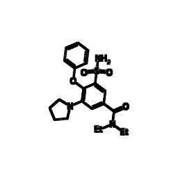 CCN(CC)C(=O)c1cc(N2CCCC2)c(Oc2ccccc2)c(S(N)(=O)=O)c1